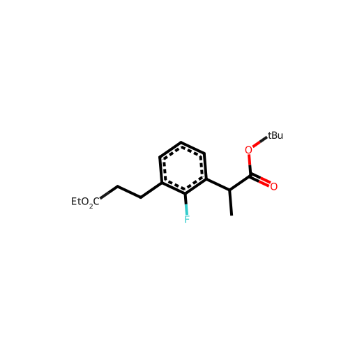 CCOC(=O)CCc1cccc(C(C)C(=O)OC(C)(C)C)c1F